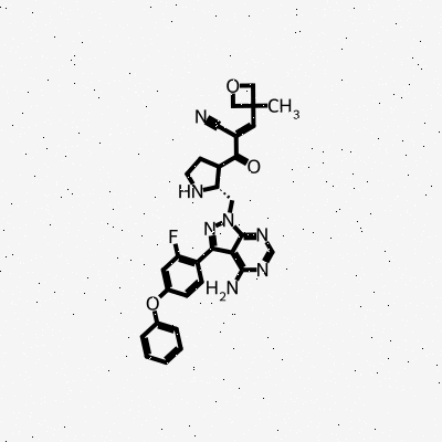 CC1(C=C(C#N)C(=O)C2CCN[C@H]2Cn2nc(-c3ccc(Oc4ccccc4)cc3F)c3c(N)ncnc32)COC1